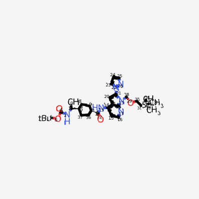 CC(NC(=O)OC(C)(C)C)[C@H]1CC[C@H](C(=O)Nc2ccnc3c2cc(-n2cccn2)n3COCC[Si](C)(C)C)CC1